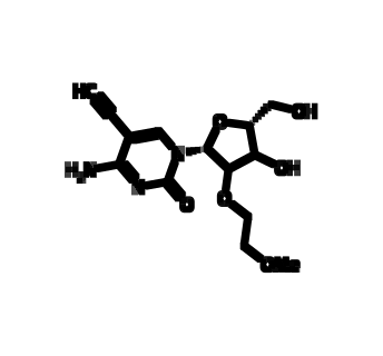 C#Cc1cn([C@@H]2O[C@H](CO)C(O)C2OCCOC)c(=O)nc1N